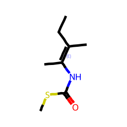 CC/C(C)=C(\C)NC(=O)SC